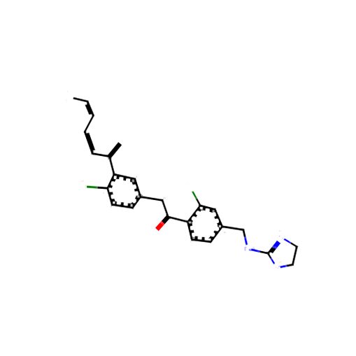 C=C(/C=C\C=C/C)c1cc(CC(=O)c2ccc(CNC3=NCCN3)cc2Cl)ccc1Cl